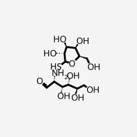 N[C@@H](C=O)[C@@H](O)[C@H](O)[C@H](O)CO.OC[C@H]1OC(S)[C@H](O)[C@@H](O)[C@H]1O